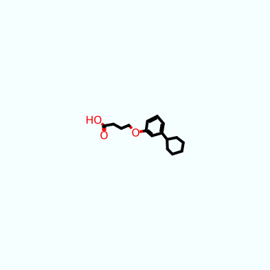 O=C(O)CCCOc1cccc(C2CCCCC2)c1